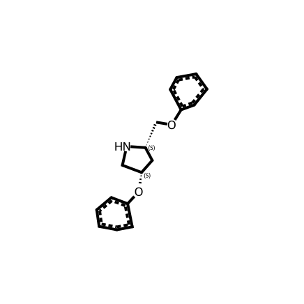 c1ccc(OC[C@@H]2C[C@H](Oc3ccccc3)CN2)cc1